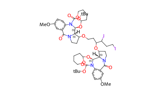 COc1ccc2c(c1)C(=O)N1CCC(OCCC(OC3CCN4C(=O)c5cc(OC)ccc5N(C(=O)OC(C)(C)C)[C@@H](OC5CCCCO5)[C@H]34)C(I)CCI)[C@H]1[C@H](OC1CCCCO1)N2C(=O)OC(C)(C)C